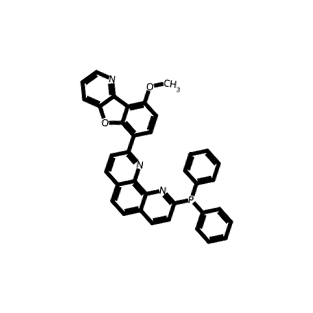 COc1ccc(-c2ccc3ccc4ccc(P(c5ccccc5)c5ccccc5)nc4c3n2)c2oc3cccnc3c12